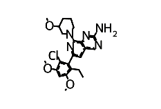 CCc1c(OC)cc(OC)c(Cl)c1-c1cc2cnc(N)nc2c(N2CCCC(OC)C2)n1